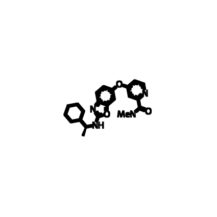 CNC(=O)c1cc(Oc2ccc3nc(N[C@@H](C)C4CCCCC4)oc3c2)ccn1